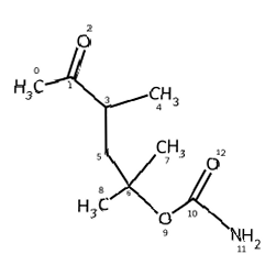 CC(=O)C(C)CC(C)(C)OC(N)=O